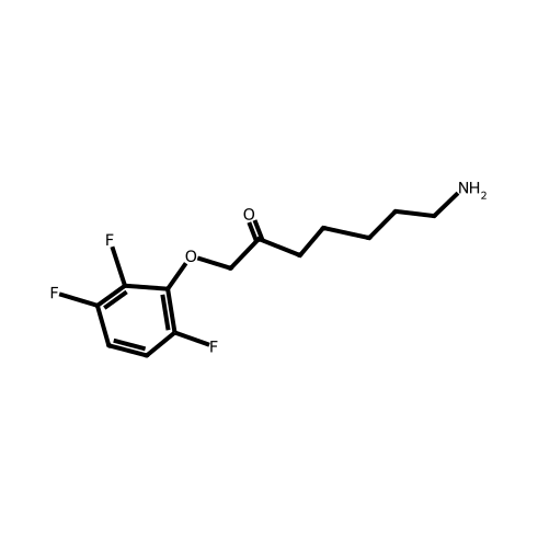 NCCCCCC(=O)COc1c(F)ccc(F)c1F